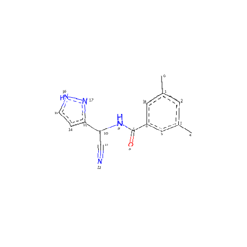 Cc1cc(C)cc(C(=O)NC(C#N)c2cc[nH]n2)c1